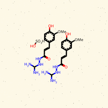 COc1cc(/C=C/C(=O)NNC(N)N)ccc1O.COc1cc(/C=C/C(=O)NNC(N)N)ccc1O.O=S(=O)(O)O